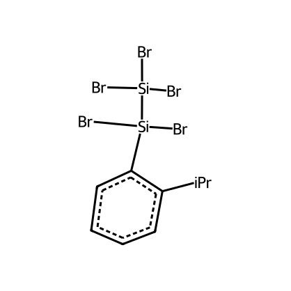 CC(C)c1ccccc1[Si](Br)(Br)[Si](Br)(Br)Br